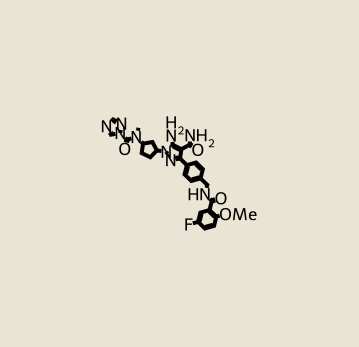 COc1ccc(F)cc1C(=O)NCc1ccc(-c2nn(C3CCC(N(C)C(=O)n4cncn4)C3)c(N)c2C(N)=O)cc1